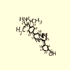 C[C@@H]1CNC[C@H](C)N1c1ccc(-c2cnc3c(-c4cccc(CO)c4)cnn3c2)cc1